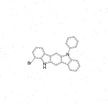 Brc1cccc2c1[nH]c1cc3c4ccccc4n(-c4ccccc4)c3cc12